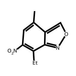 CCc1c([N+](=O)[O-])cc(C)c2conc12